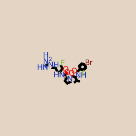 CC(C)[C@H](NC(=O)c1ccc(Br)cc1F)C(=O)N1CCC[C@H]1C(=O)N[C@@H](CCCNC(=N)N)C(=O)CF